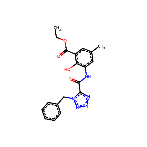 CCOC(=O)c1cc(C)cc(NC(=O)c2nnnn2Cc2ccccc2)c1O